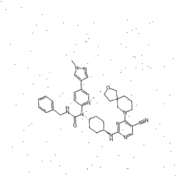 Cn1cc(-c2ccc(N(C(=O)NCc3ccccc3)[C@H]3CC[C@H](Nc4ncc(C#N)c(N5CCCC6(CCOC6)C5)n4)CC3)nc2)cn1